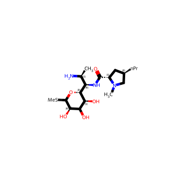 CCC[C@@H]1C[C@@H](C(=O)N[C@@H]([C@H]2OC(SC)[C@H](O)C(O)[C@@H]2O)[C@H](C)N)N(C)C1